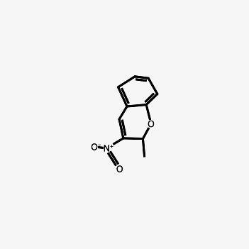 CC1Oc2ccccc2C=C1[N+](=O)[O-]